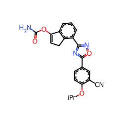 CC(C)Oc1ccc(-c2nc(-c3cccc4c3CC=C4OC(N)=O)no2)cc1C#N